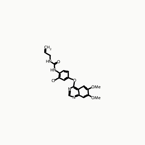 C=CCNC(=O)Nc1ccc(Oc2ncnc3cc(OC)c(OC)cc23)cc1Cl